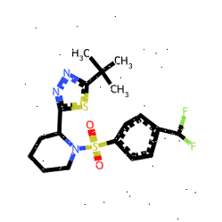 CC(C)(C)c1nnc(C2CCCCN2S(=O)(=O)c2ccc(C(F)F)cc2)s1